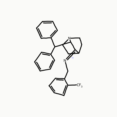 FC(F)(F)c1ccccc1C/N=C1\C2CCN(CC2)C1C(c1ccccc1)c1ccccc1